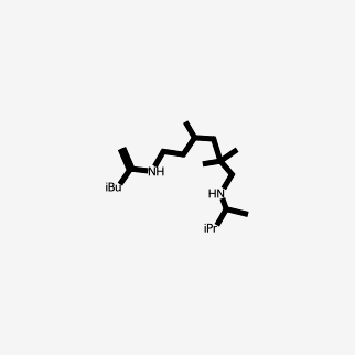 C=C(NCCC(C)CC(C)(C)CNC(C)C(C)C)C(C)CC